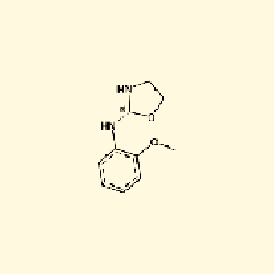 COc1ccccc1N[C@@H]1NCCO1